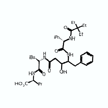 CC[C@H](C)[C@H](NC(=O)CC(O)C(Cc1ccccc1)NC(=O)[C@@H](NC(=O)C(CC)(CC)CC)C(C)C)C(=O)N[C@H](C(=O)O)C(C)C